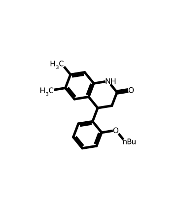 CCCCOc1ccccc1C1CC(=O)Nc2cc(C)c(C)cc21